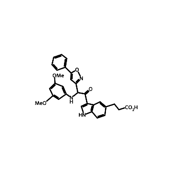 COc1cc(NC(C(=O)c2c[nH]c3ccc(CCC(=O)O)cc23)c2cc(-c3ccccc3)on2)cc(OC)c1